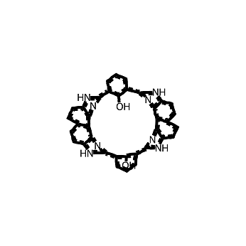 Oc1c2cccc1c1nc3c(ccc4ccc5[nH]c(nc5c43)c3cccc(c3O)c3nc4c(ccc5ccc6[nH]c2nc6c54)[nH]3)[nH]1